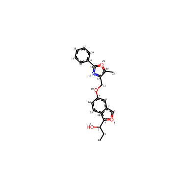 CCC(O)c1occ2cc(OCc3nc(-c4ccccc4)oc3C)ccc12